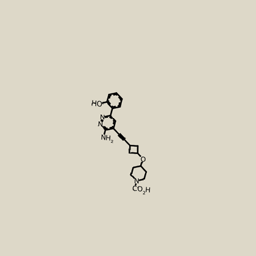 Nc1nnc(-c2ccccc2O)cc1C#CC1CC(OC2CCN(C(=O)O)CC2)C1